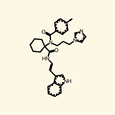 Cc1ccc(C(=O)N(CCCn2ccnc2)C2(C(=O)NC=Cc3c[nH]c4ccccc34)CCCCC2)cc1